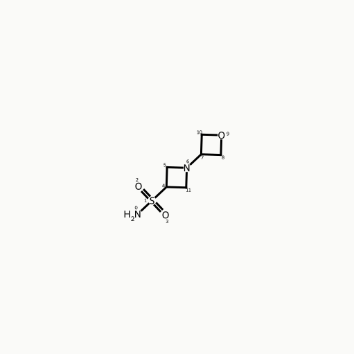 NS(=O)(=O)C1CN(C2COC2)C1